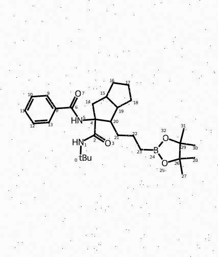 CC(C)(C)NC(=O)C1(NC(=O)c2ccccc2)CC2CCCC2C1CCCB1OC(C)(C)C(C)(C)O1